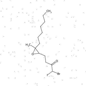 CCCCCCCC1(C)OC1CCC(=O)C(Br)I